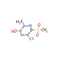 Cc1nc(S(C)(=O)=O)c(Cl)cc1O